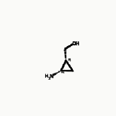 N[C@H]1C[C@H]1CO